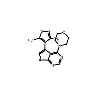 Cc1noc(C)c1-c1c[nH]c2ncnc(N3CCOCC3)c12